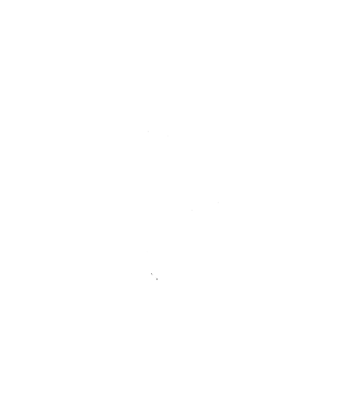 CC(C1OC(=O)c2cc(C(F)(F)F)ccc21)[N+](=O)[O-]